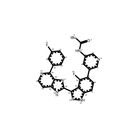 CC(C)(C)C(=O)Nc1cncc(-c2ccc3[nH]nc(-c4nc5c(-c6cccc(F)c6)nccc5[nH]4)c3c2F)c1